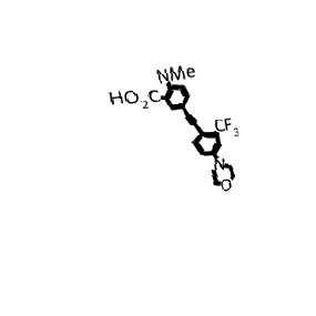 CNc1ccc(C#Cc2ccc(N3CCOCC3)cc2C(F)(F)F)cc1C(=O)O